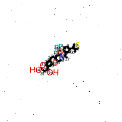 Cc1cscc1-c1ccc(OC(F)(F)F)c(C(C)N2CCC3(CCc4ccc([C@H](O)[C@H](C)C(=O)O)cc4O3)CC2)c1